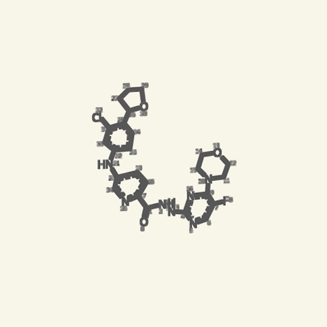 O=C(NNc1ncc(F)c(N2CCOCC2)n1)c1ccc(Nc2ccc(C3CCCO3)c(Cl)c2)cn1